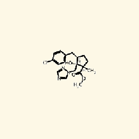 COC(=O)[C@@]1(C)CC[C@H](Cc2ccc(Cl)cc2)[C@]1(O)Cn1cncn1